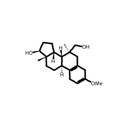 COC1=CCC2=C(C1)C[C@](C)(CO)[C@@H]1[C@@H]2CC[C@@]2(C)[C@@H]1CC[C@@H]2O